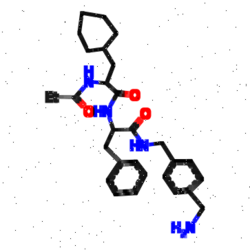 CCC(=O)NC(CC1CCCCC1)C(=O)NC(Cc1ccccc1)C(=O)NCc1ccc(CN)cc1